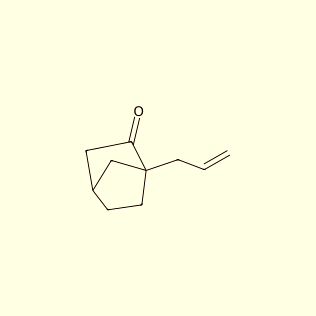 C=CCC12CCC(CC1=O)C2